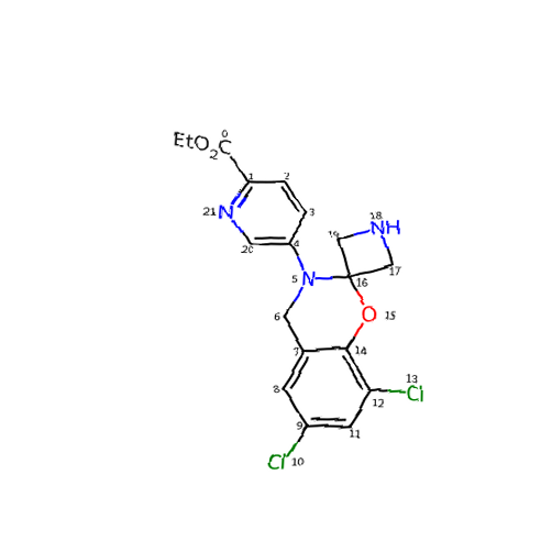 CCOC(=O)c1ccc(N2Cc3cc(Cl)cc(Cl)c3OC23CNC3)cn1